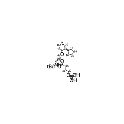 CC(C)(C)NC[C@@H](COc1ccccc1C1CCCC1)OC(=O)CCCON(O)O